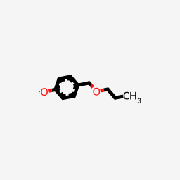 CCCOCc1ccc([O])cc1